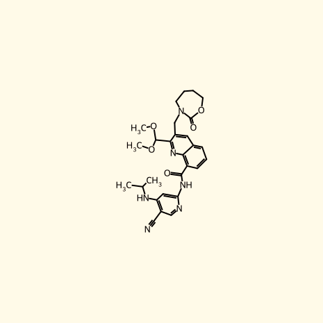 COC(OC)c1nc2c(C(=O)Nc3cc(NC(C)C)c(C#N)cn3)cccc2cc1CN1CCCCOC1=O